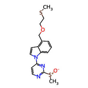 CSCCOCc1cccc2c1ccn2-c1ccnc([S+](C)[O-])n1